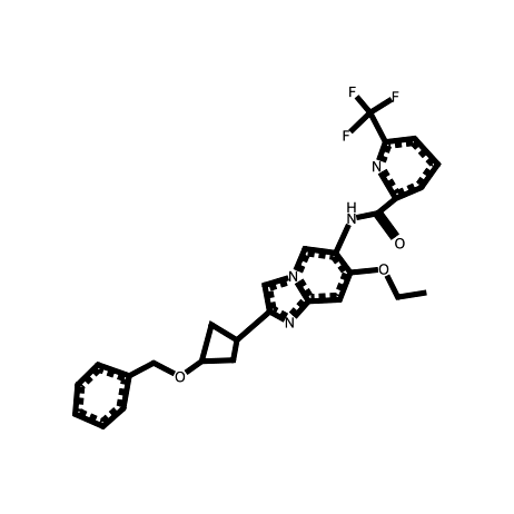 CCOc1cc2nc(C3CC(OCc4ccccc4)C3)cn2cc1NC(=O)c1cccc(C(F)(F)F)n1